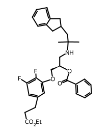 CCOC(=O)CCc1cc(F)c(F)c(OC[C@@H](CNC(C)(C)CC2Cc3ccccc3C2)OC(=O)c2ccccc2)c1